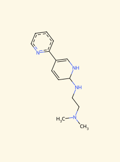 CN(C)CCNC1C=CC(c2ccccn2)=CN1